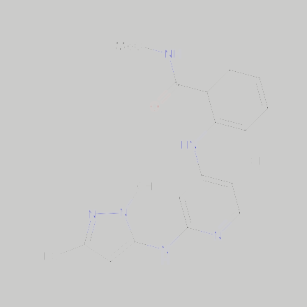 CONC(=O)c1ccccc1Nc1cc(Nc2cc(C)nn2C)ncc1C(F)(F)F